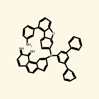 N=C1C=Cc2ccc3ccc(N(c4cc(-c5ccccc5)cc(-c5ccccc5)c4)c4ccc5c(c4)oc4cccc(-c6cccc(N)c6)c45)cc3c2C1=N